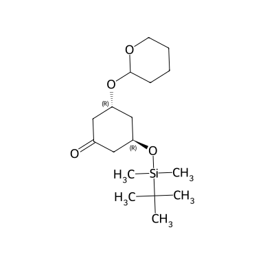 CC(C)(C)[Si](C)(C)O[C@H]1CC(=O)C[C@H](OC2CCCCO2)C1